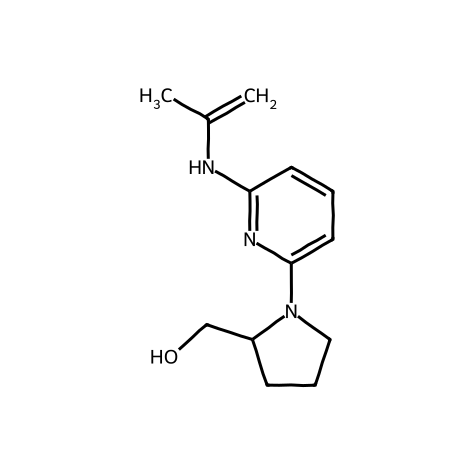 C=C(C)Nc1cccc(N2CCCC2CO)n1